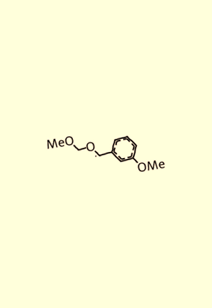 COCO[CH]c1cccc(OC)c1